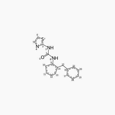 O=C(Nc1nccs1)Nc1ccccc1Cc1ccccc1